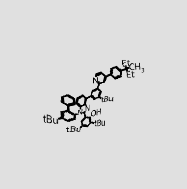 CCC(C)(CC)c1ccc(-c2ccnc(-c3cc(-c4cccc5c4nc(-c4cc(C(C)(C)C)cc(C(C)(C)C)c4O)n5-c4ccc(C(C)(C)C)cc4-c4ccccc4)cc(C(C)(C)C)c3)c2)cc1